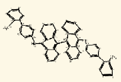 Cc1ccccc1-c1ccc(Nc2c3ccccc3c(-c3c4ccccc4c(Nc4ccc(-c5ccccc5C)cc4)c4ccccc34)c3ccccc23)cc1